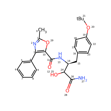 Cc1nc(-c2ccccc2)c(C(=O)N[C@@H](Cc2ccc(OC(C)(C)C)cc2)C(O)C(N)=O)o1